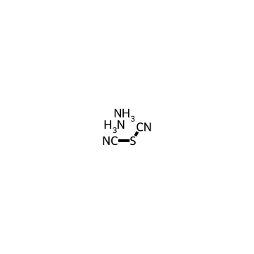 N.N.N#CSC#N